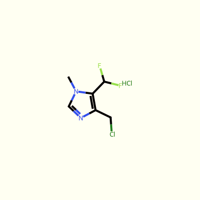 Cl.Cn1cnc(CCl)c1C(F)F